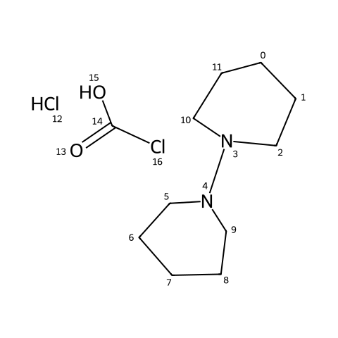 C1CCN(N2CCCCC2)CC1.Cl.O=C(O)Cl